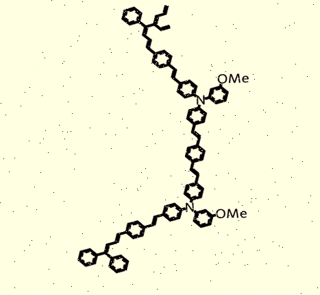 C=C/C=C(\C=C)C(=C/C=C/c1ccc(/C=C/c2ccc(N(c3ccc(/C=C/c4ccc(/C=C/c5ccc(N(c6ccc(/C=C/c7ccc(/C=C/C=C(c8ccccc8)c8ccccc8)cc7)cc6)c6cccc(OC)c6)cc5)cc4)cc3)c3cccc(OC)c3)cc2)cc1)c1ccccc1